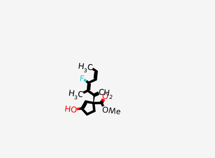 C=C(/C(C)=C(F)\C=C/C)[C@]1(C(=O)OC)C=C(O)CC1